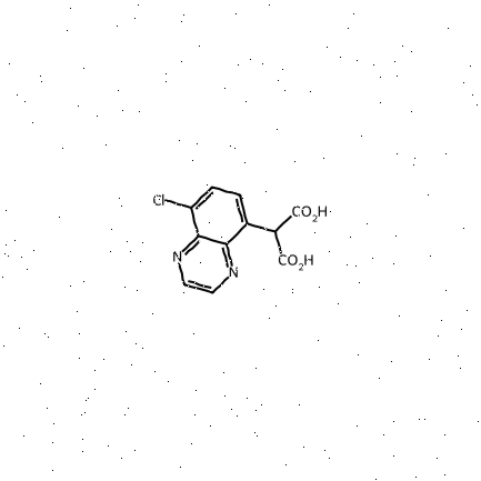 O=C(O)C(C(=O)O)c1ccc(Cl)c2nccnc12